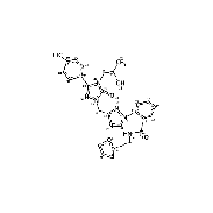 O=C(NCc1ccco1)c1ccccc1-n1cnc(Cn2nc(-c3ccc(Cl)cc3)n(CC(O)C(F)(F)F)c2=O)n1